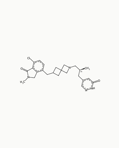 C[C@@H](Cc1cn[nH]c(=O)c1)CN1CC2(CC(Cc3ccc(Cl)c4c3CN(C)C4=O)C2)C1